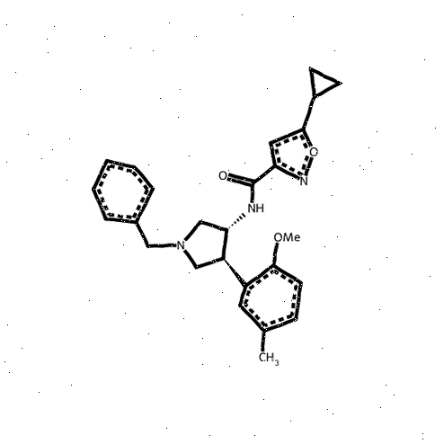 COc1ccc(C)cc1[C@H]1CN(Cc2ccccc2)C[C@@H]1NC(=O)c1cc(C2CC2)on1